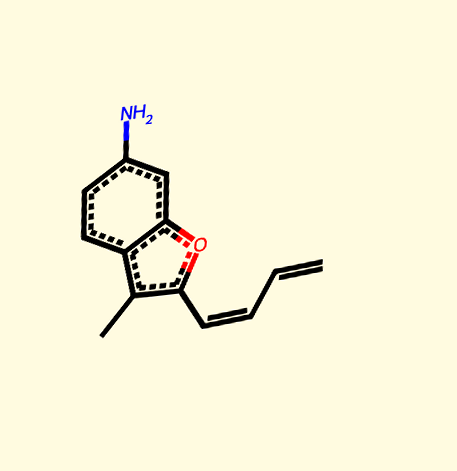 C=C/C=C\c1oc2cc(N)ccc2c1C